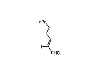 CCCCCC=C(I)C=O